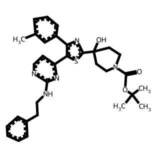 Cc1cccc(-c2nc(C3(O)CCN(C(=O)OC(C)(C)C)CC3)sc2-c2ccnc(NCCc3ccccc3)n2)c1